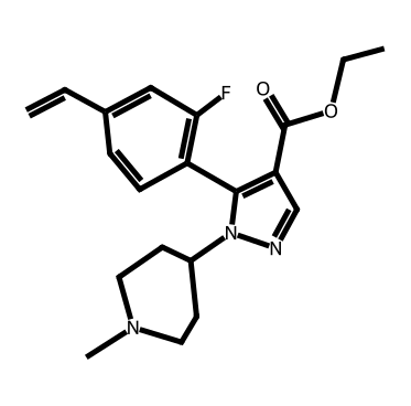 C=Cc1ccc(-c2c(C(=O)OCC)cnn2C2CCN(C)CC2)c(F)c1